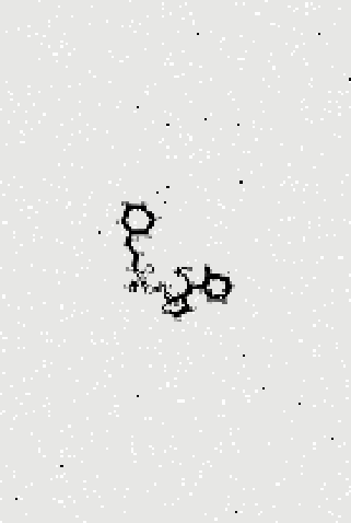 Cc1ccccc1/C(C#N)=C1\C=CS\C1=N/OS(=O)(=O)CCCC1CCCCC1